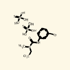 CN(CC(Cl)(Cl)Cl)C(=O)Nc1cccc(Cl)c1.OP(O)(O)=S.OP(O)(O)=S